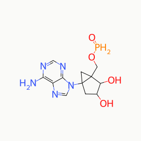 Nc1ncnc2c1ncn2C12CC(O)C(O)C1(CO[PH2]=O)C2